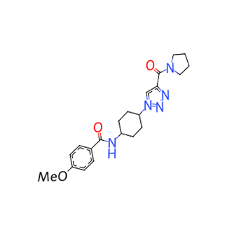 COc1ccc(C(=O)NC2CCC(n3cc(C(=O)N4CCCC4)nn3)CC2)cc1